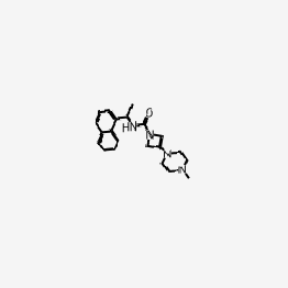 CC(NC(=O)N1CC(N2CCN(C)CC2)C1)c1cccc2ccccc12